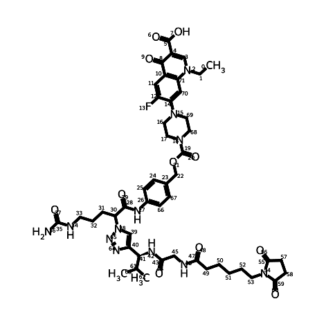 CCn1cc(C(=O)O)c(=O)c2cc(F)c(N3CCN(C(=O)OCc4ccc(NC(=O)C(CCCNC(N)=O)n5cc([C@@H](NC(=O)CNC(=O)CCCCCN6C(=O)CCC6=O)C(C)C)nn5)cc4)CC3)cc21